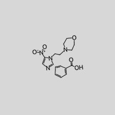 O=C(O)c1ccccc1.O=[N+]([O-])c1cncn1CCN1CCOCC1